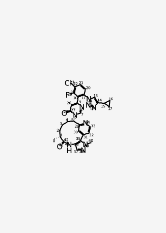 C[C@@H]1CCC[C@H](n2cnc(-c3c(-n4cc(C5CC5)nn4)ccc(Cl)c3F)cc2=O)c2cc(ccn2)-c2c(cnn2C)NC1=O